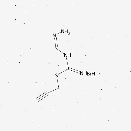 Br.C#CCSC(=N)N/C=N\N